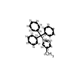 Cc1cnn(C(c2ccccc2)(c2ccccc2)c2ccccc2)c1